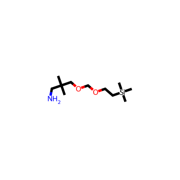 CC(C)(CN)COCOCC[Si](C)(C)C